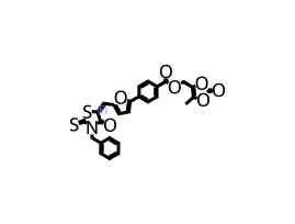 Cc1oc(=O)oc1COC(=O)c1ccc(-c2ccc(/C=C3/SC(=S)N(Cc4ccccc4)C3=O)o2)cc1